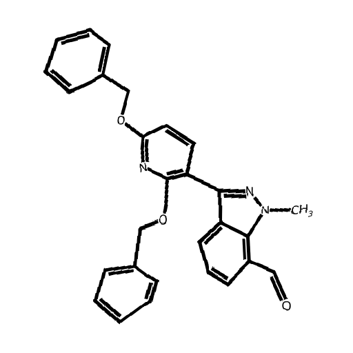 Cn1nc(-c2ccc(OCc3ccccc3)nc2OCc2ccccc2)c2cccc(C=O)c21